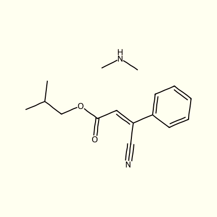 CC(C)COC(=O)C=C(C#N)c1ccccc1.CNC